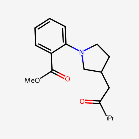 COC(=O)c1ccccc1N1CCC(CC(=O)C(C)C)C1